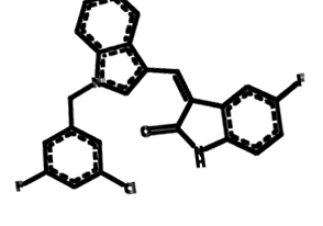 O=C1Nc2ccc(F)cc2C1=Cc1cn(Cc2cc(F)cc(Cl)c2)c2ccccc12